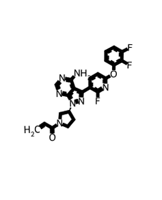 C=CC(=O)N1CC[C@@H](n2nc(-c3ccc(Oc4cccc(F)c4F)nc3F)c3c(N)ncnc32)C1